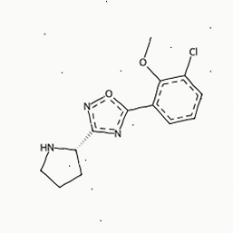 COc1c(Cl)cccc1-c1nc([C@@H]2CCCN2)no1